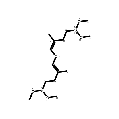 CO[SiH](CCC(C)=COC=C(C)CC[SiH](OC)OC)OC